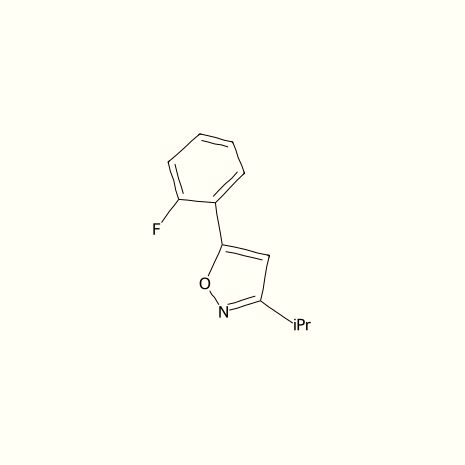 CC(C)c1cc(-c2ccccc2F)on1